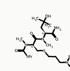 CCCC(=O)N(C)[C@H](CSCCCN(CC)CC)C(=O)N(C)[C@@H](CC(C)(C)O)C(N)=O